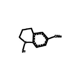 COc1ccc2c(c1)CCCN2C(C)C